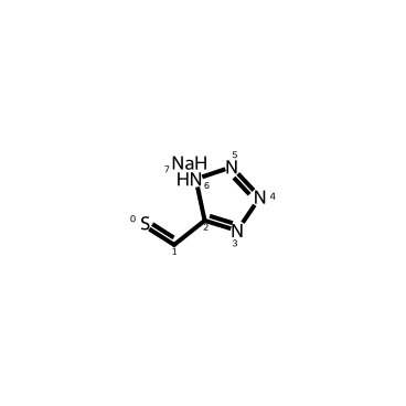 S=Cc1nnn[nH]1.[NaH]